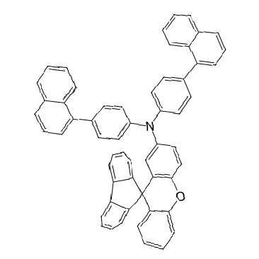 c1ccc2c(c1)Oc1ccc(N(c3ccc(-c4cccc5ccccc45)cc3)c3ccc(-c4cccc5ccccc45)cc3)cc1C21c2ccccc2-c2ccccc21